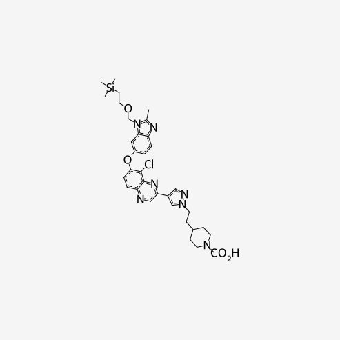 Cc1nc2ccc(Oc3ccc4ncc(-c5cnn(CCC6CCN(C(=O)O)CC6)c5)nc4c3Cl)cc2n1COCC[Si](C)(C)C